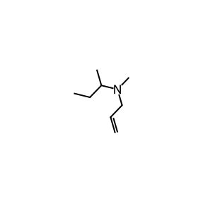 C=CCN(C)C(C)CC